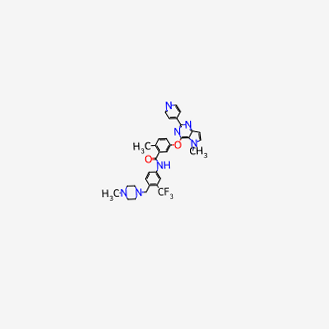 Cc1ccc(Oc2nc(-c3ccncc3)nc3ccn(C)c23)cc1C(=O)Nc1ccc(CN2CCN(C)CC2)c(C(F)(F)F)c1